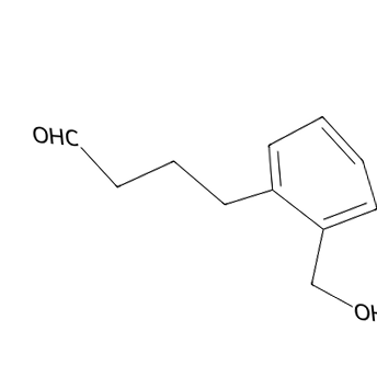 O=CCCCc1ccccc1CO